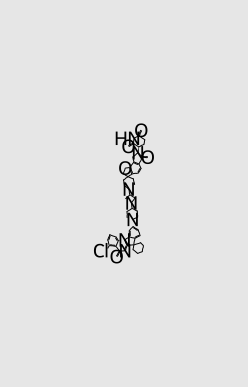 O=C1CC[C@@H](N2Cc3c(ccc4c3OCC43CCN(C4CN(C5CCN(c6ccc7c(c6)-n6c(nc(=O)c8c(Cl)cccc86)C76CCCCC6)CC5)C4)CC3)C2=O)C(=O)N1